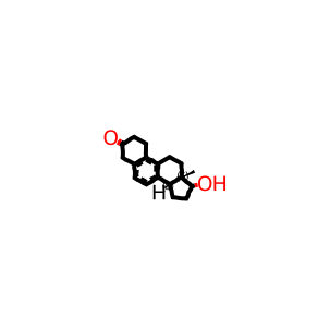 C[C@]12CCc3c(ccc4c3CCC(=O)C4)[C@@H]1CCC2O